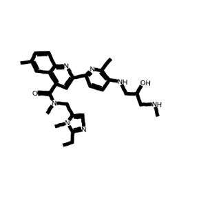 CCc1ncc(CN(C)C(=O)c2cc(-c3ccc(NCC(O)CNC)c(C)n3)nc3ccc(C)cc23)n1C